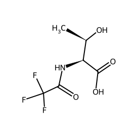 C[C@@H](O)[C@H](NC(=O)C(F)(F)F)C(=O)O